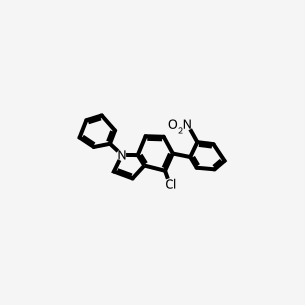 O=[N+]([O-])c1ccccc1-c1ccc2c(ccn2-c2ccccc2)c1Cl